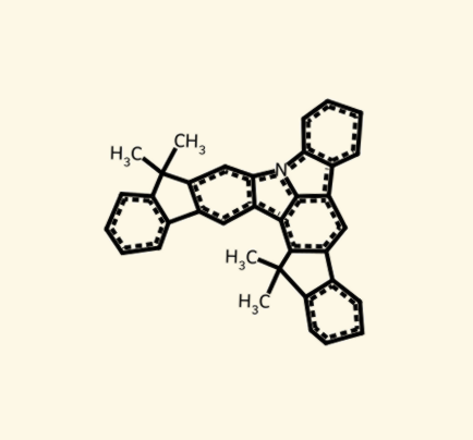 CC1(C)c2ccccc2-c2cc3c4c5c(cc6c7ccccc7n(c3cc21)c64)-c1ccccc1C5(C)C